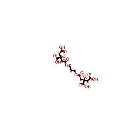 O=C(O)CC(O)(CC(=O)OCCCOC(=O)CC(O)(CC(=O)O)C(=O)O)C(=O)O